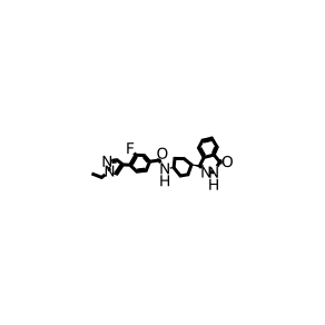 CCn1cc(-c2ccc(C(=O)N[C@H]3CC[C@H](c4n[nH]c(=O)c5ccccc54)CC3)cc2F)cn1